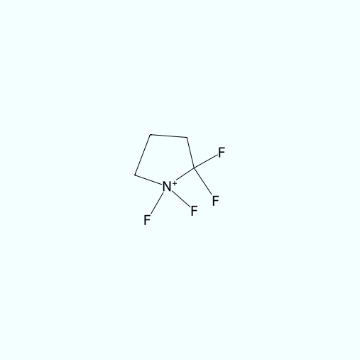 FC1(F)CCC[N+]1(F)F